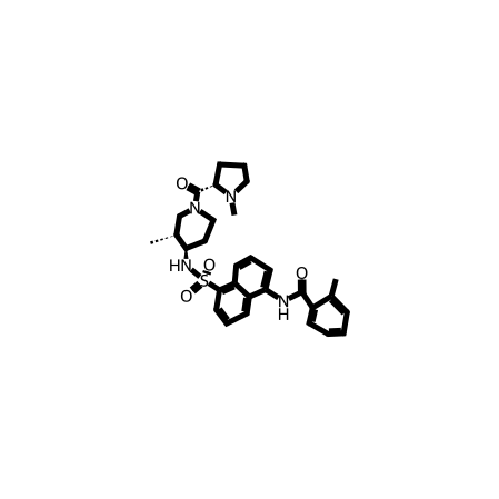 Cc1ccccc1C(=O)Nc1cccc2c(S(=O)(=O)N[C@@H]3CCN(C(=O)[C@@H]4CCCN4C)C[C@H]3C)cccc12